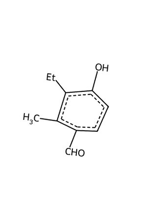 CCc1c(O)ccc(C=O)c1C